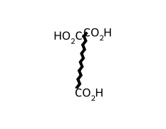 O=C(O)CCCCCCCCCCCCC(C(=O)O)C(=O)O